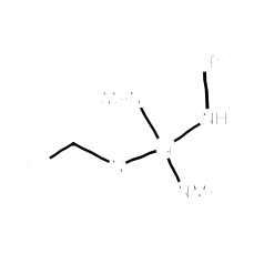 CCCN[Si](NC)(NC)NCC(C)C